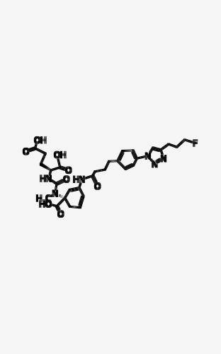 CN(C(=O)N[C@@H](CCC(=O)O)C(=O)O)[C@]1(C(=O)O)C=C(NC(=O)CCCc2ccc(-n3cc(CCCF)nn3)cc2)C=CC1